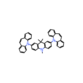 CN1c2ccc(N3c4ccccc4C=Cc4ccccc43)cc2C(C)(C)c2cc(N3c4ccccc4C=Cc4ccccc43)ccc21